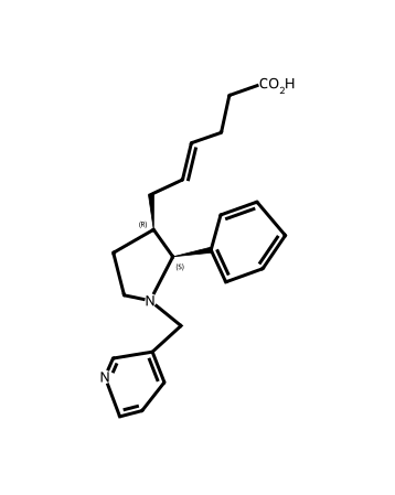 O=C(O)CCC=CC[C@@H]1CCN(Cc2cccnc2)[C@@H]1c1ccccc1